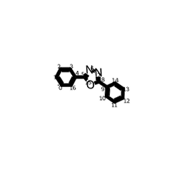 [c]1cccc(-c2nnc(-c3ccccc3)o2)c1